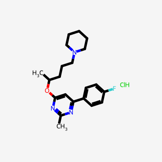 Cc1nc(OC(C)CCCN2CCCCC2)cc(-c2ccc(F)cc2)n1.Cl